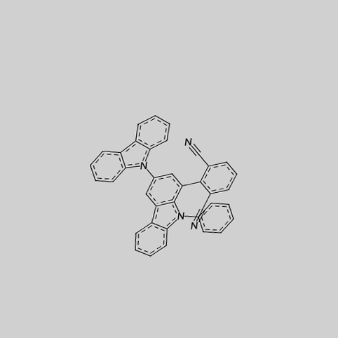 N#Cc1cccc(C#N)c1-c1cc(-n2c3ccccc3c3ccccc32)cc2c3ccccc3n(-c3ccccc3)c12